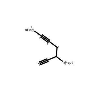 [C]#CC(CC#CCCCCCC)CCCCCCC